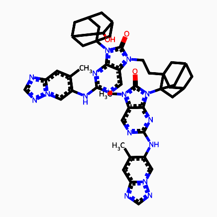 Cc1cc2ncnn2cc1Nc1ncc2c(n1)n(C13CC4CC(C1)C(O)C(C4)C3)c(=O)n2CCC12CC3CC(C1)CC2(n1c(=O)n(C)c2cnc(Nc4cn5ncnc5cc4C)nc21)C3